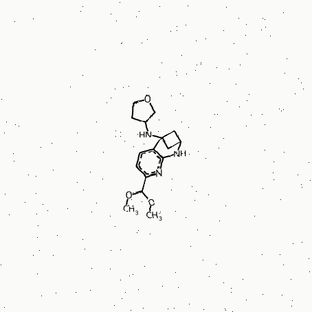 COC(OC)c1ccc2c(n1)NC1CC2(NC2CCOC2)C1